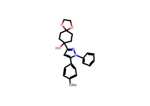 COc1ccc(-c2cc(C3(O)CCC4(CC3)OCCO4)nn2-c2ccccc2)cc1